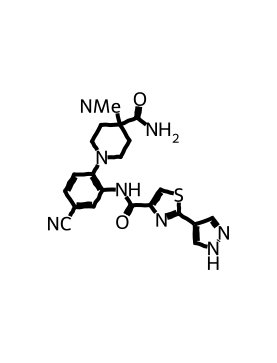 CNC1(C(N)=O)CCN(c2ccc(C#N)cc2NC(=O)c2csc(-c3cn[nH]c3)n2)CC1